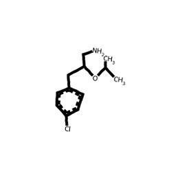 CC(C)OC(CN)Cc1ccc(Cl)cc1